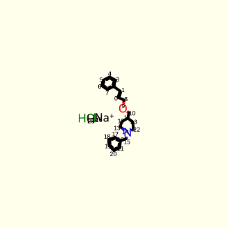 C(=Cc1ccccc1)COCC1CCN(Cc2ccccc2)CC1.Cl.[H-].[Na+]